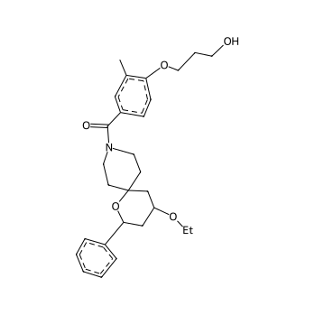 CCOC1CC(c2ccccc2)OC2(CCN(C(=O)c3ccc(OCCCO)c(C)c3)CC2)C1